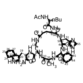 CCCC[C@H](NC(C)=O)C(=O)N[C@H]1CCC(=O)NCC[C@@H](C(=O)N[C@@H](Cc2c[nH]c3ccccc23)C(N)=O)NC(=O)[C@H](C)NC(=O)C(c2ccccc2)NC(=O)[C@H](Cc2c[nH]cn2)NC1=O